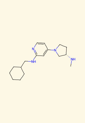 CN[C@H]1CCN(c2ccnc(NCC3CCCCC3)c2)C1